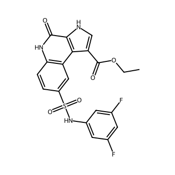 CCOC(=O)c1c[nH]c2c(=O)[nH]c3ccc(S(=O)(=O)Nc4cc(F)cc(F)c4)cc3c12